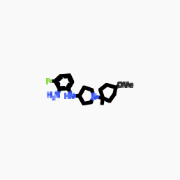 COC1CCC(C)(N2CCC(Nc3cccc(F)c3N)CC2)CC1